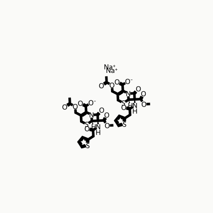 COC(=O)[C@@]1(NC(=O)Cc2cccs2)C(=O)N2C(C(=O)[O-])=C(COC(C)=O)CS[C@@H]21.COC(=O)[C@@]1(NC(=O)Cc2cccs2)C(=O)N2C(C(=O)[O-])=C(COC(C)=O)CS[C@@H]21.[Na+].[Na+]